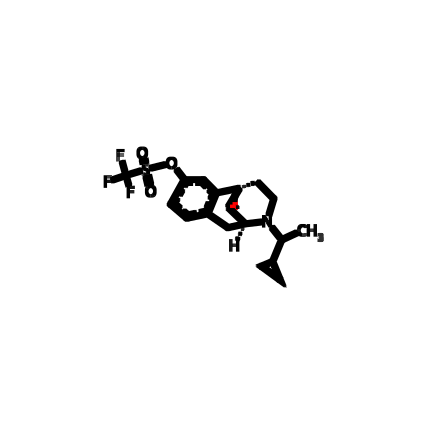 CC(C1CC1)N1CC[C@@]23CCCCC2[C@@H]1Cc1ccc(OS(=O)(=O)C(F)(F)F)cc13